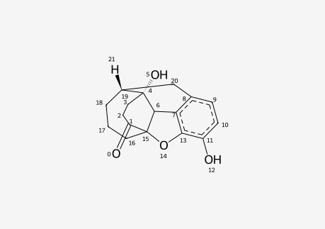 O=C1CC[C@]2(O)C3c4c5ccc(O)c4OC13CCC[C@@H]2C5